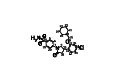 NS(=O)(=O)c1ccc(N2CC(c3ccc(Cl)cc3OCC3CCCCC3)CC2=O)cc1